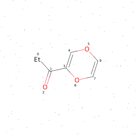 CCC(=O)C1=COC=CO1